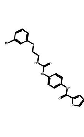 O=C(Nc1ccc(NC(=S)NCCSc2cccc(Br)c2)cc1)c1ccco1